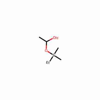 CC[Si](C)(C)OC(C)O